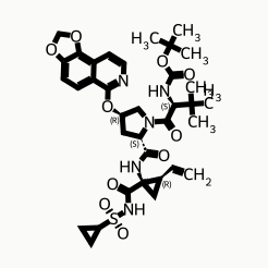 C=C[C@H]1C[C@]1(NC(=O)[C@@H]1C[C@@H](Oc2nccc3c4c(ccc23)OCO4)CN1C(=O)[C@@H](NC(=O)OC(C)(C)C)C(C)(C)C)C(=O)NS(=O)(=O)C1CC1